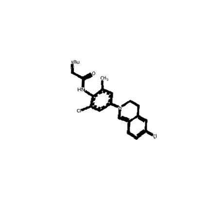 Cc1cc(N2C=C3CC=C(Cl)C=C3CC2)cc(Cl)c1NC(=O)CC(C)(C)C